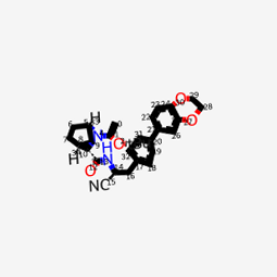 C=C(OC(C)(C)C)N1[C@@H]2CC[C@@H](C2)[C@H]1C(=O)N[C@H](C#N)Cc1ccc(-c2ccc3c(c2)OCCO3)cc1